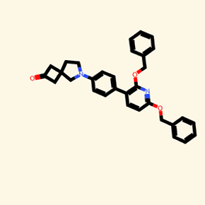 O=C1CC2(CCN(c3ccc(-c4ccc(OCc5ccccc5)nc4OCc4ccccc4)cc3)C2)C1